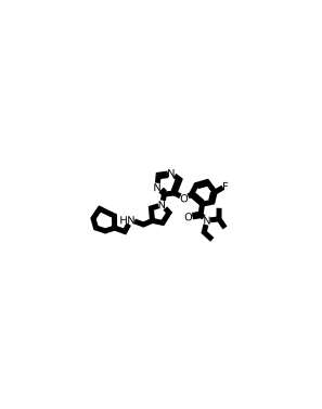 CCN(C(=O)c1cc(F)ccc1Oc1cncnc1N1CCC(CNCC2CCCCC2)C1)C(C)C